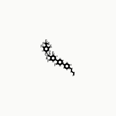 CCCCc1ccc(-c2ccc(-c3cc(F)c(C(F)(F)Oc4cc(F)c(C(F)(F)F)c(F)c4)c(F)c3)c(F)c2)cc1